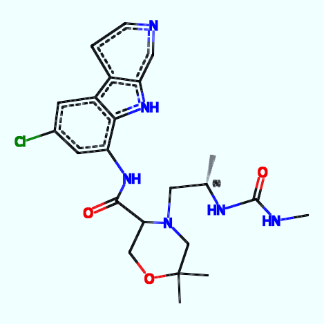 CNC(=O)N[C@@H](C)CN1CC(C)(C)OCC1C(=O)Nc1cc(Cl)cc2c1[nH]c1cnccc12